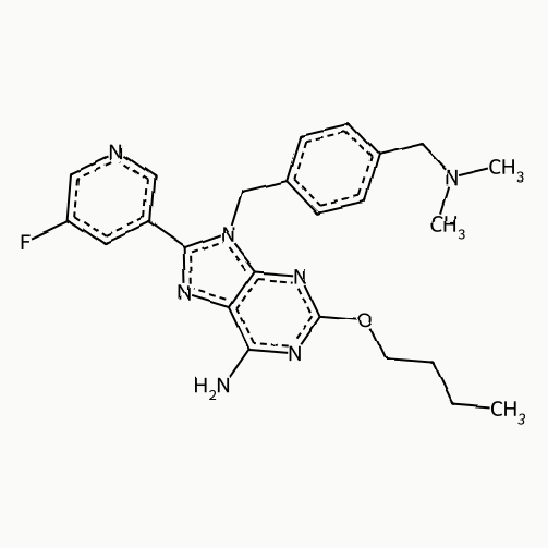 CCCCOc1nc(N)c2nc(-c3cncc(F)c3)n(Cc3ccc(CN(C)C)cc3)c2n1